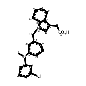 CN(c1cccc(Cl)c1)c1cccc(Cn2cc(CC(=O)O)c3ccccc32)c1